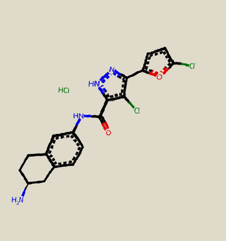 Cl.N[C@H]1CCc2cc(NC(=O)c3[nH]nc(-c4ccc(Cl)o4)c3Cl)ccc2C1